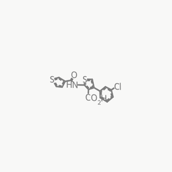 O=C(Nc1scc(-c2cccc(Cl)c2)c1C(=O)O)c1ccsc1